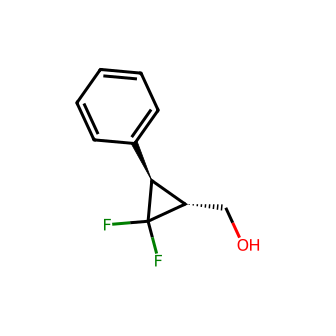 OC[C@H]1[C@H](c2ccccc2)C1(F)F